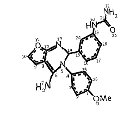 COc1ccc(N2C(N)=c3ccoc3=NC2c2cccc(NC(N)=O)c2)cc1